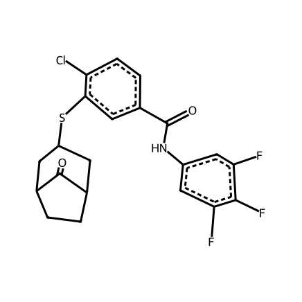 O=C(Nc1cc(F)c(F)c(F)c1)c1ccc(Cl)c(SC2CC3CCC(C2)C3=O)c1